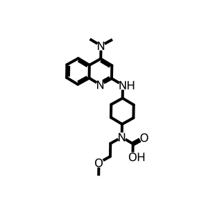 COCCN(C(=O)O)C1CCC(Nc2cc(N(C)C)c3ccccc3n2)CC1